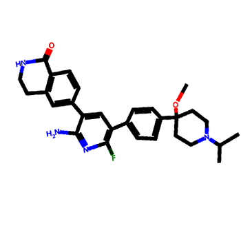 COC1(c2ccc(-c3cc(-c4ccc5c(c4)CCNC5=O)c(N)nc3F)cc2)CCN(C(C)C)CC1